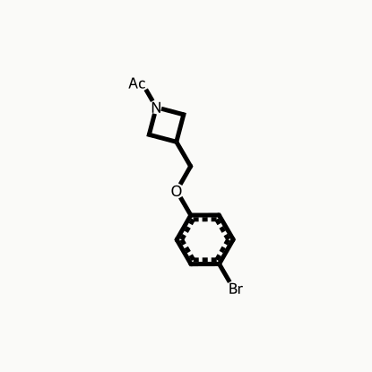 CC(=O)N1CC(COc2ccc(Br)cc2)C1